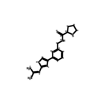 NC(N)=Nc1nc(-c2cccc(CNC(=O)C3CCCO3)n2)cs1